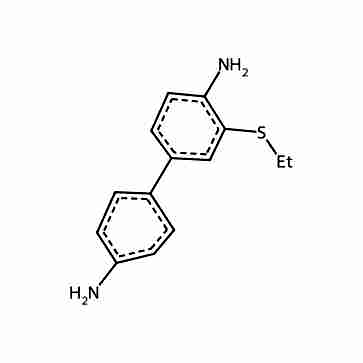 CCSc1cc(-c2ccc(N)cc2)ccc1N